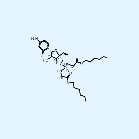 C=C[C@]1(COP(=O)(N[C@@H](C)C(=O)OCCCCCC)N[C@@H](C)C(=O)OCCCCCC)O[C@@H](n2ccc(N)nc2=O)[C@H](O)[C@@H]1F